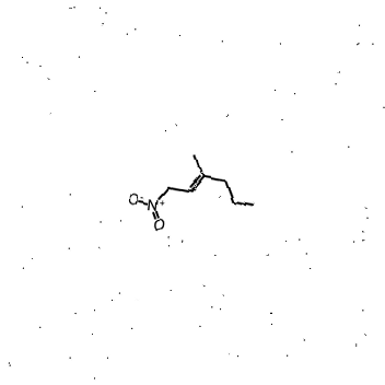 CCCC(C)=CC[N+](=O)[O-]